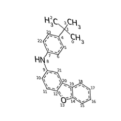 CC(C)(C)c1ccc(Nc2ccc3oc4ccccc4c3c2)cc1